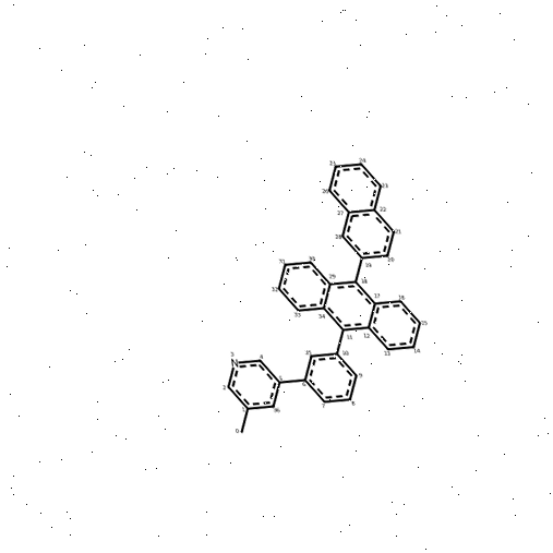 Cc1cncc(-c2cccc(-c3c4ccccc4c(-c4ccc5ccccc5c4)c4ccccc34)c2)c1